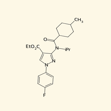 CCOC(=O)c1cn(-c2ccc(F)cc2)nc1N(C(=O)C1CCC(C)CC1)C(C)C